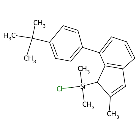 CC1=Cc2cccc(-c3ccc(C(C)(C)C)cc3)c2C1[Si](C)(C)Cl